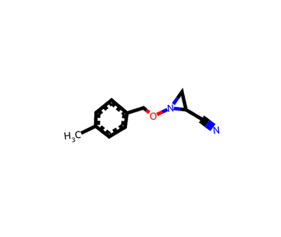 Cc1ccc(CON2CC2C#N)cc1